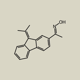 CC(=NO)c1ccc2c(c1)C(=C(C)C)c1ccccc1-2